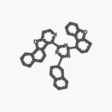 c1ccc2cc(-c3nc(-c4cccc5oc6ccccc6c45)nc(-c4nccc5oc6c7ccccc7ccc6c45)n3)ccc2c1